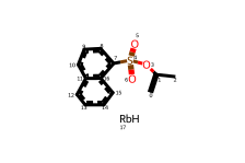 C=C(C)OS(=O)(=O)c1cccc2ccccc12.[RbH]